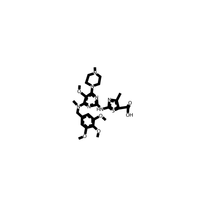 COc1cc(CN(C)c2nc(Nc3nc(C)c(C(=O)O)s3)nc(N3CCN(C)CC3)c2OC)cc(OC)c1OC